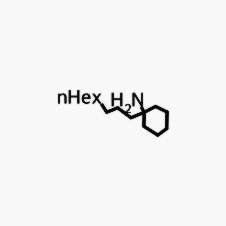 CCCCCCCCCC1(N)CCCCC1